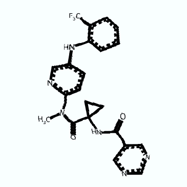 CN(C(=O)C1(NC(=O)c2cncnc2)CC1)c1ccc(Nc2ccccc2C(F)(F)F)cn1